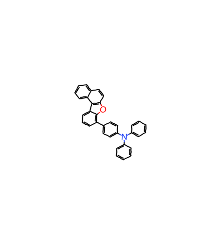 c1ccc(N(c2ccccc2)c2ccc(-c3cccc4c3oc3ccc5ccccc5c34)cc2)cc1